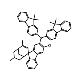 CC1=CC2(c3ccccc3-c3cc(Cl)c(N(c4ccc5c(c4)C(C)(C)c4ccccc4-5)c4ccc5c(c4)C(C)(C)c4ccccc4-5)cc32)C2CC(C)CC1C2